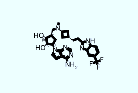 CN(C[C@H]1C[C@@H](n2ccc3c(N)ncnc32)[C@H](O)[C@@H]1O)[C@H]1C[C@@H](CCC2=NC3C=C(C(F)(F)F)C=CC3N2)C1